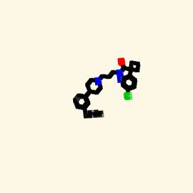 CC(=O)Nc1cccc(C2CCN(CCCNC(=O)C3(c4ccc(Cl)cc4)CCC3)CC2)c1